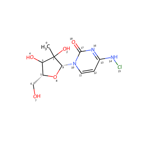 CC1(O)C(O)[C@@H](CO)O[C@H]1n1ccc(NCl)nc1=O